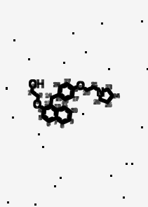 OCCOc1ccc2ccccc2c1Cc1ccc(OCCN2CCCC2)cc1